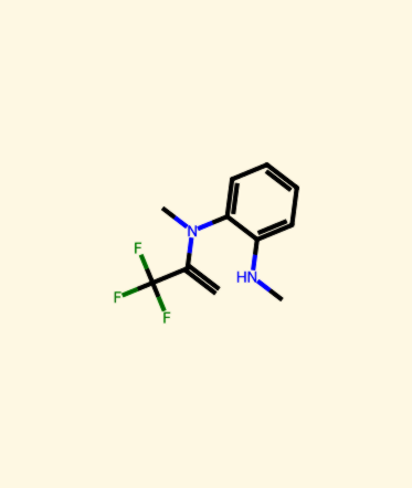 C=C(N(C)c1ccccc1NC)C(F)(F)F